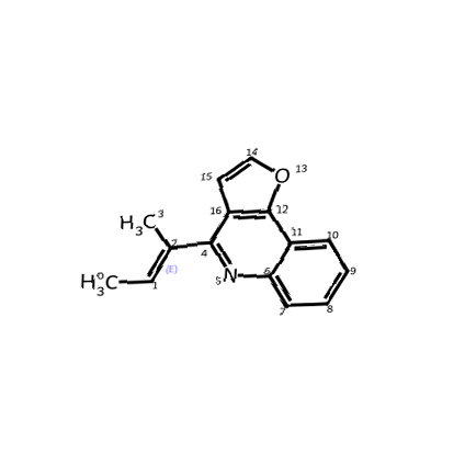 C/C=C(\C)c1nc2ccccc2c2occc12